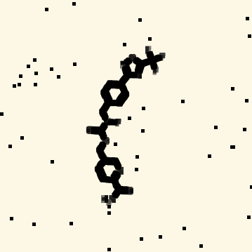 NC(=O)c1ccc(COC(=O)N(F)Cc2ccc(-c3noc(C(F)(F)F)n3)cc2)cn1